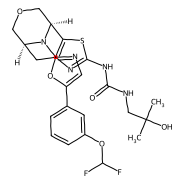 CC(C)(O)CNC(=O)Nc1nc2c(s1)[C@@H]1COC[C@H](C2)N1c1ncc(-c2cccc(OC(F)F)c2)o1